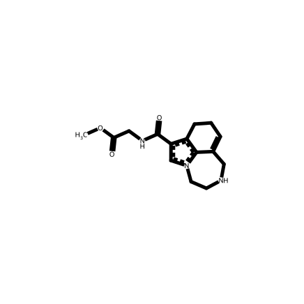 COC(=O)CNC(=O)c1cn2c3c1CCC=C3CNCC2